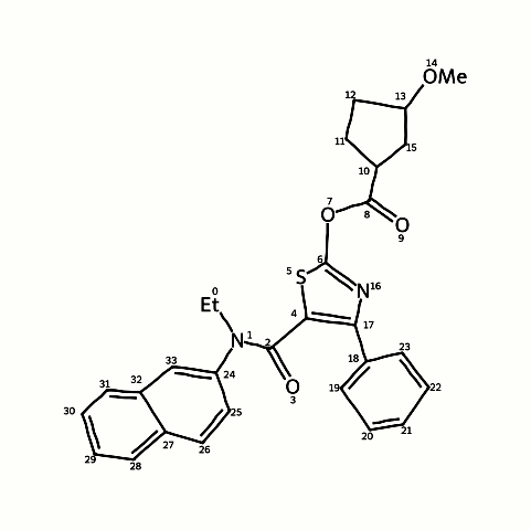 CCN(C(=O)c1sc(OC(=O)C2CCC(OC)C2)nc1-c1ccccc1)c1ccc2ccccc2c1